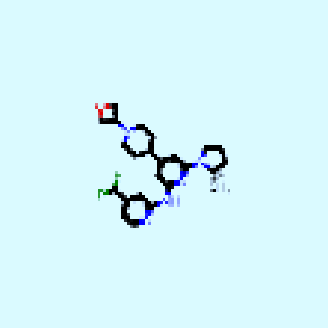 C[C@@H]1CCCN1c1cc(C2CCN(C3COC3)CC2)cc(Nc2cc(C(F)F)ccn2)n1